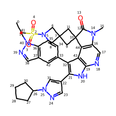 CCS(=O)(=O)N1CC2(C1)CC1(C2)C(=O)N(C)c2cnc3[nH]c(-c4cnn(C5CCCC5)c4)c(-c4ccc5c(cnn5C)c4)c3c21